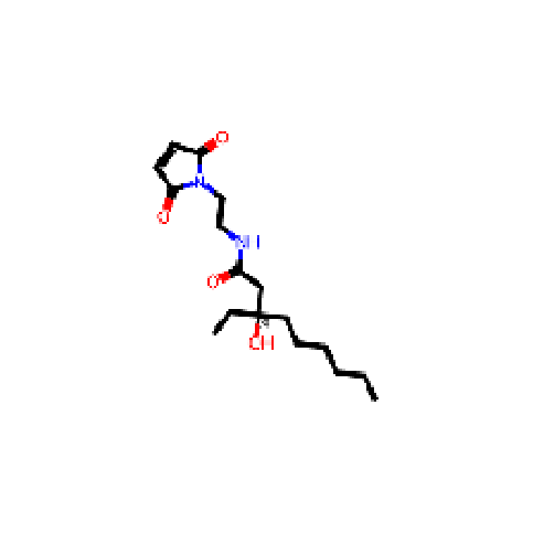 CCCCCC[C@](O)(CC)CC(=O)NCCN1C(=O)C=CC1=O